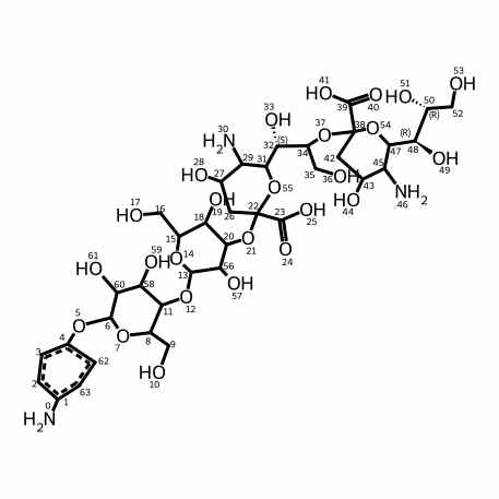 Nc1ccc(OC2OC(CO)C(OC3OC(CO)C(O)C(OC4(C(=O)O)CC(O)C(N)C([C@H](O)C(CO)OC5(C(=O)O)CC(O)C(N)C([C@H](O)[C@H](O)CO)O5)O4)C3O)C(O)C2O)cc1